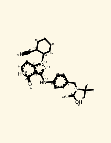 CC(C)(C)N(Cc1ccc(Nc2nn(C3CCCCC3C#N)c3cc[nH]c(=O)c23)cc1)C(=O)O